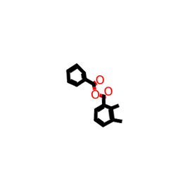 Cc1cccc(C(=O)OC(=O)c2ccccc2)c1C